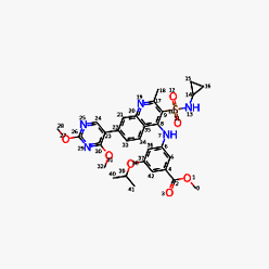 COC(=O)c1cc(Nc2c(S(=O)(=O)NC3CC3)c(C)nc3cc(-c4cnc(OC)nc4OC)ccc23)cc(OC(C)C)c1